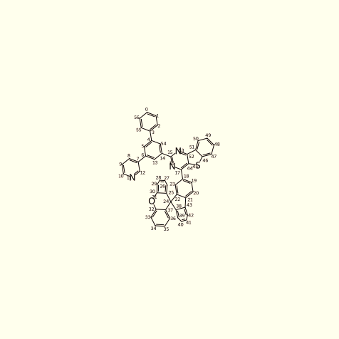 c1ccc(-c2cc(-c3cccnc3)cc(-c3nc(-c4ccc5c(c4)C4(c6ccccc6Oc6ccccc64)c4ccccc4-5)c4sc5ccccc5c4n3)c2)cc1